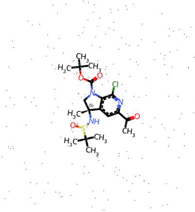 CC(=O)c1cc2c(c(Cl)n1)N(C(=O)OC(C)(C)C)C[C@@]2(C)N[S+]([O-])C(C)(C)C